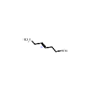 CCCCCC/C=C/CC(=O)O